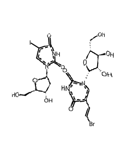 O=c1[nH]c(=O)n(C2C[C@H](O)[C@@H](CO)O2)cc1I.O=c1[nH]c(=O)n([C@@H]2O[C@H](CO)[C@@H](O)[C@@H]2O)cc1/C=C/Br